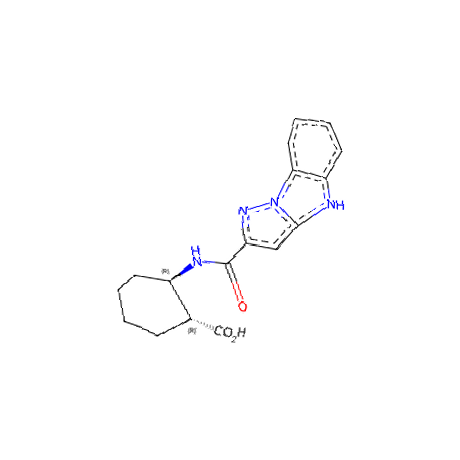 O=C(N[C@@H]1CCCC[C@H]1C(=O)O)c1cc2[nH]c3ccccc3n2n1